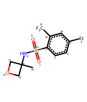 CCc1ccc(S(=O)(=O)NC2(C)COC2)c(C(F)(F)F)c1